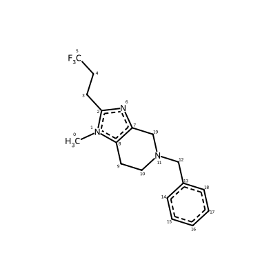 Cn1c(CCC(F)(F)F)nc2c1CCN(Cc1ccccc1)C2